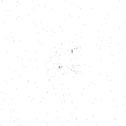 CNC(C)(NC)NC.C[C@H](CCC(N)=O)[C@H]1CCC2C3CCC4C[C@H](O)CC[C@]4(C)C3CC[C@@]21C